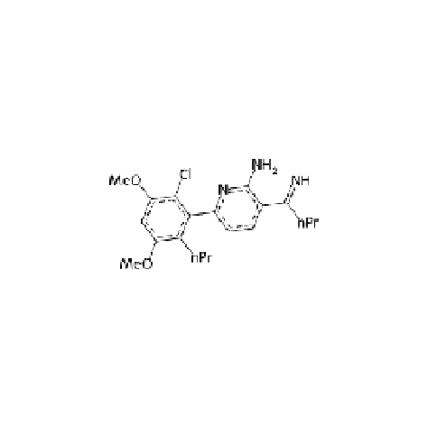 CCCC(=N)c1ccc(-c2c(Cl)c(OC)cc(OC)c2CCC)nc1N